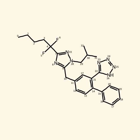 CCCCC(F)(F)c1nc(Cc2ccc(-c3ccccc3)c(-c3nnn[nH]3)c2)n(CC(C)C)n1